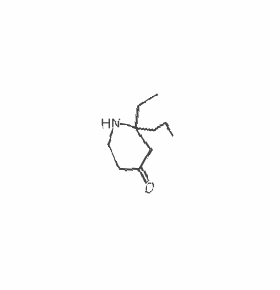 CCC1(CC)CC(=O)CCN1